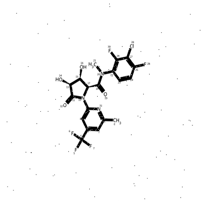 Cc1cc(C(F)(F)F)cc(N2C(=O)[C@@H](O)[C@@H](O)[C@H]2C(=O)N(C)c2ccc(F)c(Cl)c2F)n1